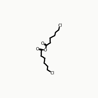 O=C(CCCCCCl)OC(=O)CCCCCCl